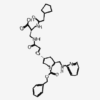 O=C(CO[C@@H]1C[C@@H](CNc2ccccn2)N(C(=O)OCc2ccccc2)C1)NC[C@H](NC(=O)CC1CCCC1)C(=O)O